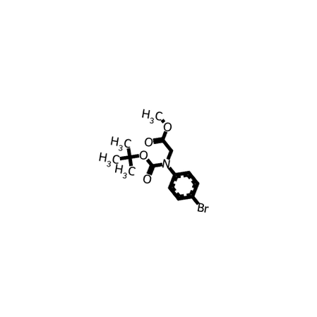 COC(=O)CN(C(=O)OC(C)(C)C)c1ccc(Br)cc1